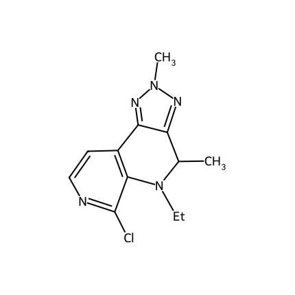 CCN1c2c(ccnc2Cl)-c2nn(C)nc2C1C